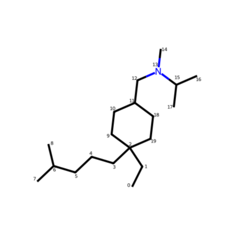 CCC1(CCCC(C)C)CCC(CN(C)C(C)C)CC1